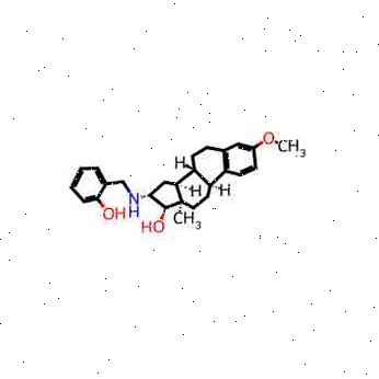 COc1ccc2c(c1)CC[C@@H]1[C@@H]2CC[C@@]2(C)[C@@H](O)[C@H](NCc3ccccc3O)C[C@@H]12